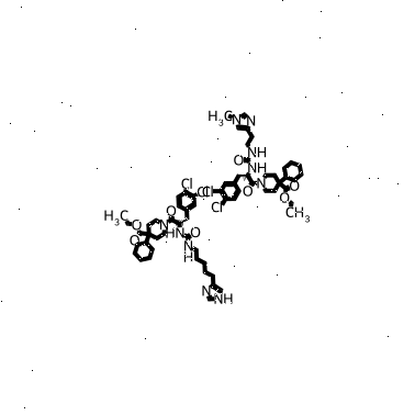 CCOC(=O)C1(C2CCCCC2)CCN(C(=O)[C@@H](Cc2ccc(Cl)c(Cl)c2)NC(=O)NCCCCCc2c[nH]cn2)CC1.CCOC(=O)C1(C2CCCCC2)CCN(C(=O)[C@@H](Cc2ccc(Cl)c(Cl)c2)NC(=O)NCCc2cn(C)cn2)CC1